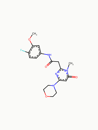 COc1cc(NC(=O)Cc2nc(N3CCOCC3)cc(=O)n2C)ccc1F